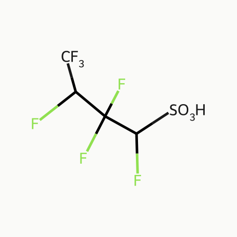 O=S(=O)(O)C(F)C(F)(F)C(F)C(F)(F)F